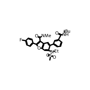 CCN(c1cc2oc(-c3ccc(F)cc3)c(C(=O)NC)c2cc1-c1cccc(C(=O)NC(C)(C)C)c1)S(C)(=O)=O